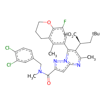 Cc1nc2cc(C(=O)N(C)Cc3ccc(Cl)c(Cl)c3)nn2c(-c2cc(F)c3c(c2C)CCCO3)c1[C@H](CC(C)(C)C)C(=O)O